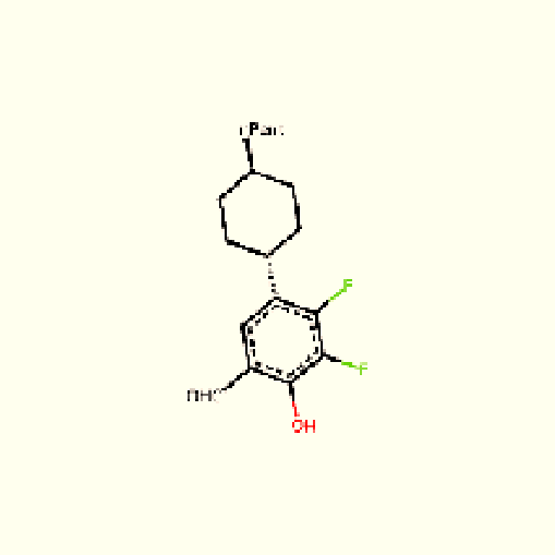 CCCCC[C@H]1CC[C@H](c2cc(C=O)c(O)c(F)c2F)CC1